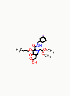 CCCCOc1c(C(=O)NCc2cccc(I)c2)n(CC(OC)OC)cc(CC(=O)O)c1=O